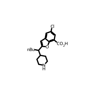 CCCCC(c1cc2cc(Cl)cc(C(=O)O)c2o1)C1CCNCC1